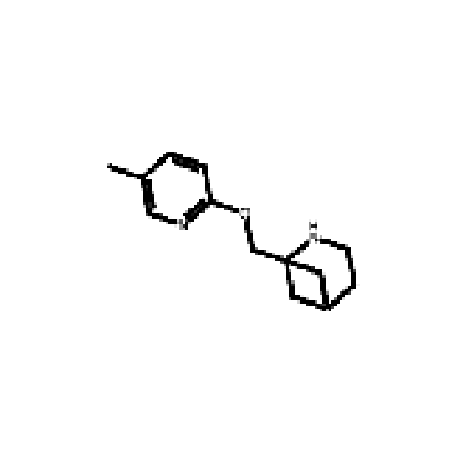 Cc1ccc(OCC23CC(CCN2)C3)nc1